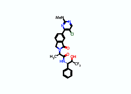 CNc1ncc(Cl)c(-c2ccc3c(c2)C(=O)N([C@H](C)C(=O)N[C@@H](c2ccccc2)[C@@H](O)C(F)(F)F)C3)n1